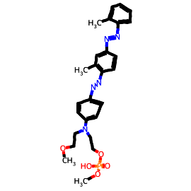 COCCN(CCOP(=O)(O)OC)c1ccc(N=Nc2ccc(N=Nc3ccccc3C)cc2C)cc1